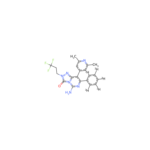 [2H]c1c([2H])c([2H])c(-c2nc(N)n3c(=O)n(CCC(F)(F)F)nc3c2-c2cc(C)nc(C)c2)c([2H])c1[2H]